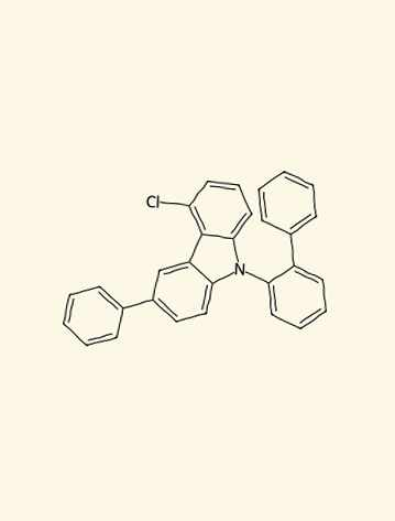 Clc1cccc2c1c1cc(-c3ccccc3)ccc1n2-c1ccccc1-c1ccccc1